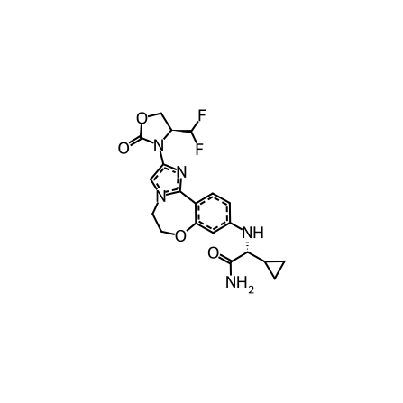 NC(=O)[C@H](Nc1ccc2c(c1)OCCn1cc(N3C(=O)OC[C@H]3C(F)F)nc1-2)C1CC1